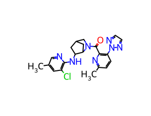 Cc1cnc(NC2CC3CC2N(C(=O)c2nc(C)ccc2-n2nccn2)C3)c(Cl)c1